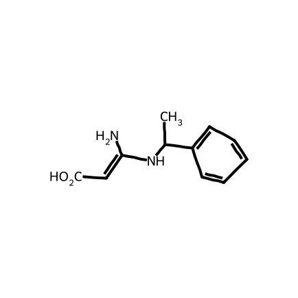 CC(NC(N)=CC(=O)O)c1ccccc1